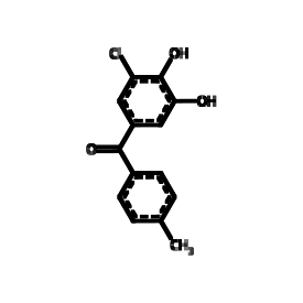 Cc1ccc(C(=O)c2cc(O)c(O)c(Cl)c2)cc1